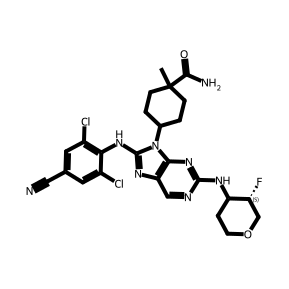 CC1(C(N)=O)CCC(n2c(Nc3c(Cl)cc(C#N)cc3Cl)nc3cnc(NC4CCOC[C@H]4F)nc32)CC1